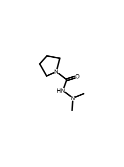 CN(C)NC(=O)N1CCCC1